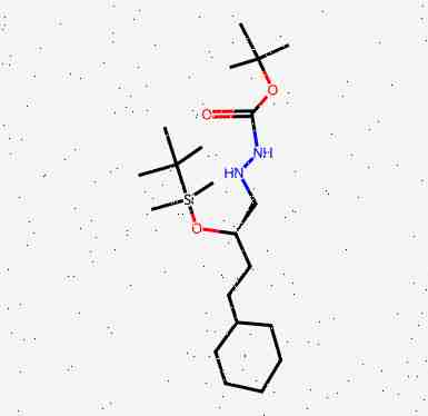 CC(C)(C)OC(=O)NNC[C@@H](CCC1CCCCC1)O[Si](C)(C)C(C)(C)C